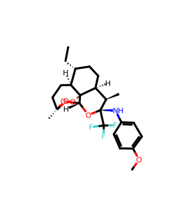 CC[C@@H]1CC[C@H]2[C@@H](C)[C@](Nc3ccc(OC)cc3)(C(F)(F)F)O[C@@H]3O[C@]4(C)CC[C@@H]1[C@]32OO4